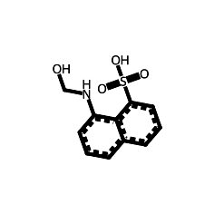 O=S(=O)(O)c1cccc2cccc(NCO)c12